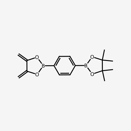 C=C1OB(c2ccc(B3OC(C)(C)C(C)(C)O3)cc2)OC1=C